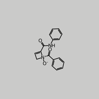 O=C(Nc1ccccc1)C1=CC[N+]1([O-])C(=O)c1ccccc1